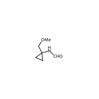 COCC1(N[C]=O)CC1